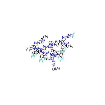 COCCN1CCN(c2cc3c(N[C@H](C)c4cccc(C(F)F)c4F)nc(C)nc3cn2)CC1.Cc1nc(N[C@H](C)c2cccc(C(F)F)c2F)c2cc(N3CC(=O)N[C@@H](C(=O)O)C3)ncc2n1.Cc1nc(N[C@H](C)c2cccc(C(F)F)c2F)c2cc(N3CCN(CC(F)F)CC3)ncc2n1.Cc1nc(N[C@H](C)c2cccc(C(F)F)c2F)c2cc(N3CCn4nc(C#N)cc4C3)ncc2n1